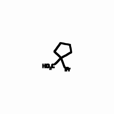 CC(C)C1(C(=O)O)CCCC1